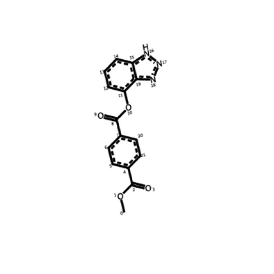 COC(=O)c1ccc(C(=O)Oc2cccc3[nH]nnc23)cc1